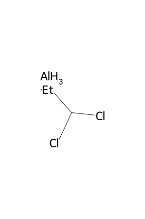 C[CH]C(Cl)Cl.[AlH3]